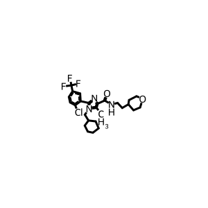 Cc1c(C(=O)NCCC2CCOCC2)nc(-c2cc(C(F)(F)F)ccc2Cl)n1CC1CCCCC1